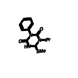 CSC1NC(=O)N(c2ccccc2)C(=O)N1C(C)C